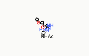 CC(=O)N[C@H]1CC[C@@H](Nc2ncnc3[nH]cc(C(=O)c4cccc(Oc5ccccc5)c4)c23)CC1